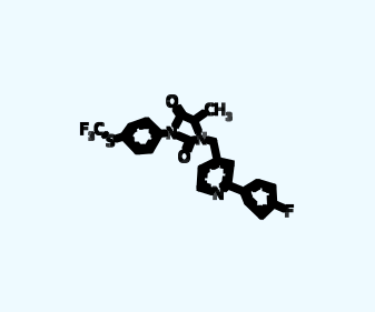 CC1C(=O)N(c2ccc(SC(F)(F)F)cc2)C(=O)N1Cc1ccnc(-c2ccc(F)cc2)c1